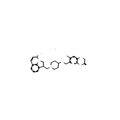 Cl.O=C1COc2cc(Cl)c(CNC3CCN(CC4CN5c6c(cccc64)C=CC5O)CC3)nc2N1